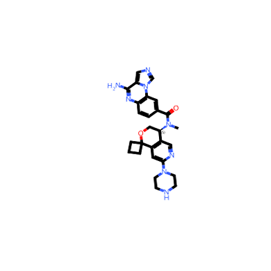 CN(C(=O)c1ccc2nc(N)c3cncn3c2c1)[C@@H]1COC2(CCC2)c2cc(N3CCNCC3)ncc21